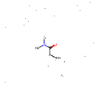 CCN(C(=O)CNC)C(C)(C)C